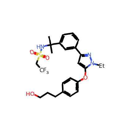 CCn1nc(-c2cccc(C(C)(C)NS(=O)(=O)CC(F)(F)F)c2)cc1Oc1ccc(CCCO)cc1